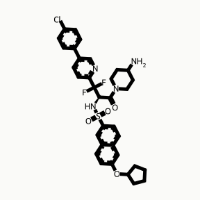 NC1CCN(C(=O)[C@@H](NS(=O)(=O)c2ccc3cc(OC4CCCC4)ccc3c2)C(F)(F)c2ccc(-c3ccc(Cl)cc3)cn2)CC1